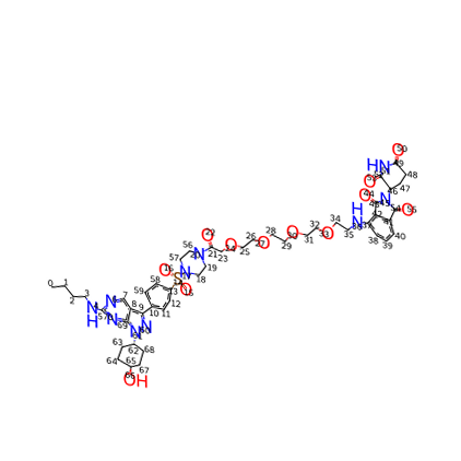 CCCCNc1ncc2c(-c3ccc(S(=O)(=O)N4CCN(C(=O)COCCOCCOCCOCCNc5cccc6c5C(=O)N(C5CCC(=O)NC5=O)C6=O)CC4)cc3)nn([C@H]3CC[C@H](O)CC3)c2n1